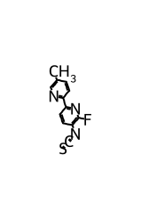 Cc1ccc(-c2ccc(N=C=S)c(F)n2)nc1